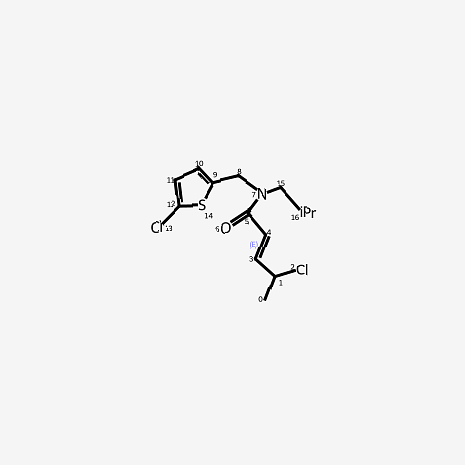 CC(Cl)/C=C/C(=O)N(Cc1ccc(Cl)s1)CC(C)C